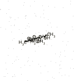 CC.CCCC(O)CCOC(=O)C=CC(=O)OCCC(O)CCC